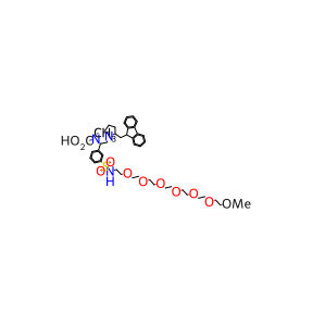 COCCOCCOCCOCCOCCOCCOCCNS(=O)(=O)c1cccc(C(CN2CCCC2CC2c3ccccc3-c3ccccc32)N(C)C(=O)O)c1